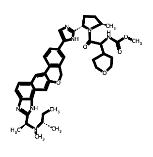 CC[C@H](C)N(C)[C@@H](C)c1nc2ccc3cc4c(cc3c2[nH]1)OCc1cc(-c2cnc([C@@H]3CC[C@H](C)N3C(=O)C(NC(=O)OC)C3CCOCC3)[nH]2)ccc1-4